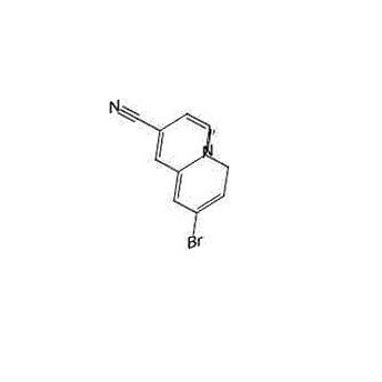 N#CC1=CC2=CC(Br)=CCC23C=NC=CC3=C1